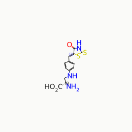 N[C@@H](CNc1ccc(/C=C2\SC(=S)NC2=O)cc1)C(=O)O